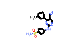 Cc1cccc(-c2nc(Nc3ccc(S(N)(=O)=O)cc3)ncc2C#N)c1